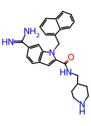 N=C(N)c1ccc2cc(C(=O)NCC3CCNCC3)n(Cc3cccc4ccccc34)c2c1